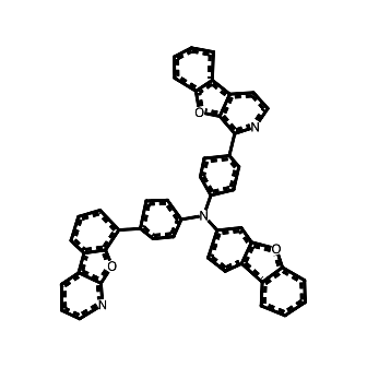 c1ccc2c(c1)oc1cc(N(c3ccc(-c4nccc5c4oc4ccccc45)cc3)c3ccc(-c4cccc5c4oc4ncccc45)cc3)ccc12